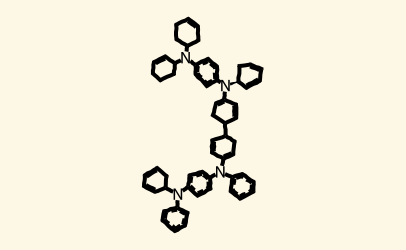 C1=CCC(N(c2ccccc2)c2ccc(N(C3=CCC(C4C=CC(N(c5ccc(N(C6C=CCCC6)C6CC=CCC6)cc5)[C@@H]5C=CC=CC5)=CC4)C=C3)c3ccccc3)cc2)C=C1